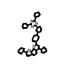 c1c(-c2ccccc2)nc2c(c#1)ccc1c(-c3ccccc3)cc(C3=CCC=C(c4cccc(-c5nc(-c6ccccc6)nc(-c6ccccc6)n5)c4)C=C3)nc12